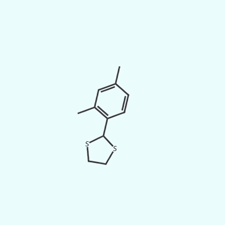 Cc1ccc(C2SCCS2)c(C)c1